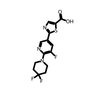 O=C(O)c1cnc(-c2cnc(N3CCC(F)(F)CC3)c(F)c2)s1